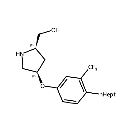 CCCCCCCc1ccc(O[C@H]2CN[C@@H](CO)C2)cc1C(F)(F)F